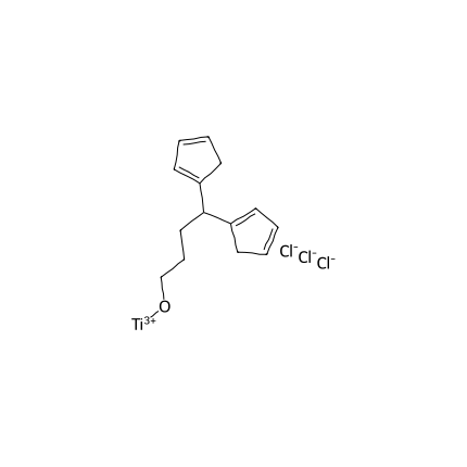 [Cl-].[Cl-].[Cl-].[Ti+3][O]CCCC(C1=CC=CC1)C1=CC=CC1